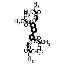 C=C(C)C(=O)O/C=C\Oc1ccc(-c2ccc3cc(O/C=C\OC(=O)C(=C)C)c(OC(=O)C(=C)C)cc3c2)cc1OC(=O)C(=C)C